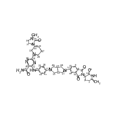 C=C1CCC(N2C(=O)c3ccc(N4CC5CN(c6ccc(Nc7nc(N8CCC[C@H](N9CCN(C)C9=O)C8)cnc7C(N)=O)cc6)CC5C4)cc3C2=O)C(=O)N1